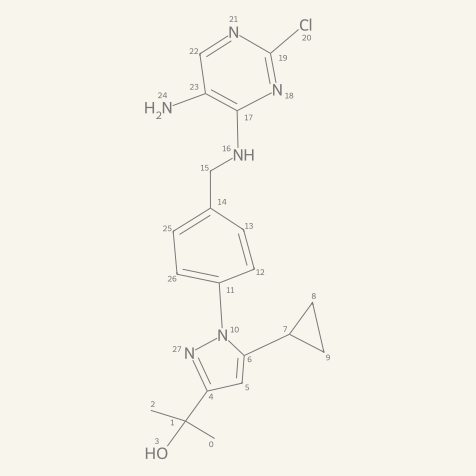 CC(C)(O)c1cc(C2CC2)n(-c2ccc(CNc3nc(Cl)ncc3N)cc2)n1